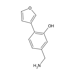 NCc1ccc(-c2ccoc2)c(O)c1